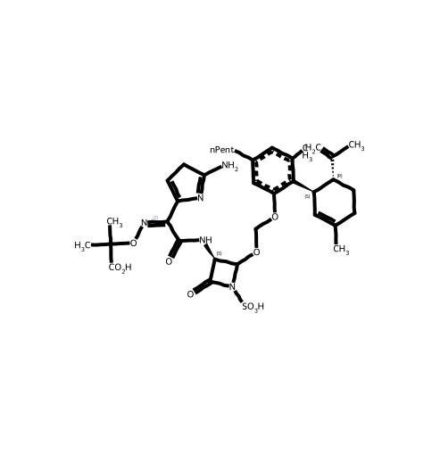 C=C(C)[C@@H]1CCC(C)=C[C@H]1c1c(C)cc(CCCCC)cc1OCOC1[C@H](NC(=O)/C(=N\OC(C)(C)C(=O)O)C2=CCC(N)=N2)C(=O)N1S(=O)(=O)O